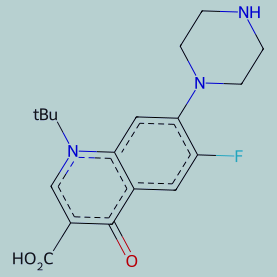 CC(C)(C)n1cc(C(=O)O)c(=O)c2cc(F)c(N3CCNCC3)cc21